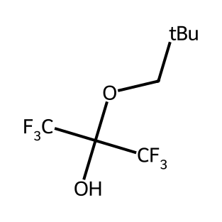 CC(C)(C)COC(O)(C(F)(F)F)C(F)(F)F